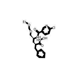 CCOCOC[C@H](C[C@H](Cc1ccccc1)C(=O)NO)NC(=O)c1ccc(Cl)nc1